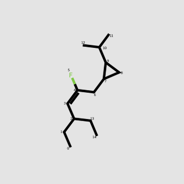 CCC(/C=C(/F)CC1CC1C(C)C)CC